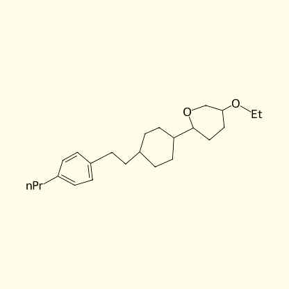 CCCc1ccc(CCC2CCC(C3CCC(OCC)CO3)CC2)cc1